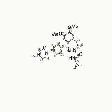 COc1cc2c(cc1OC)C(c1ccc(N3CCN(C)CC3)cc1)=NN(C(=O)NC1CC1)C(C)C2